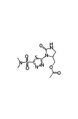 CC(=O)OCC1CNC(=O)N1c1nnc(S(=O)(=O)N(C)C)s1